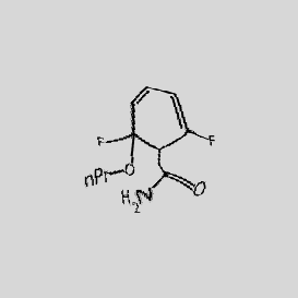 CCCOC1(F)C=CC=C(F)C1C(N)=O